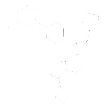 O=C(N[C@@H]1CCN(C(=O)C2CCC2)[C@@H]1Cc1cccc(-c2cccc(F)c2)c1)C1CCCO1